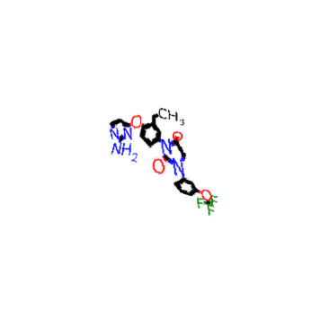 CCc1cc(N2C(=O)CN(c3cccc(OC(F)(F)F)c3)C2=O)ccc1Oc1ccnc(N)n1